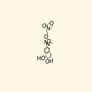 Cc1cc(OCCN2CCOCC2=O)nn1-c1ccc2c(c1)C=CC(O)C2O